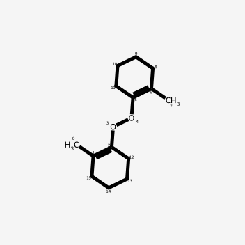 CC1=C(OOC2=C(C)CCCC2)CCCC1